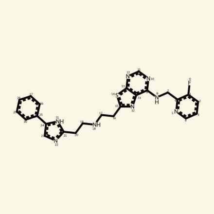 Fc1cccnc1CNc1ncnc2sc(CCNCCc3ncc(-c4ccccc4)[nH]3)nc12